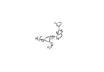 COc1ccc(CNc2nccc3sc(-c4cccc(I)c4)nc23)c(OC)c1